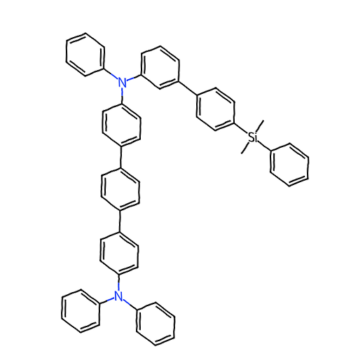 C[Si](C)(c1ccccc1)c1ccc(-c2cccc(N(c3ccccc3)c3ccc(-c4ccc(-c5ccc(N(c6ccccc6)c6ccccc6)cc5)cc4)cc3)c2)cc1